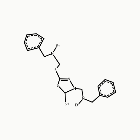 CCN(CSC1=NN(CN(CC)Cc2ccccc2)C(S)S1)Cc1ccccc1